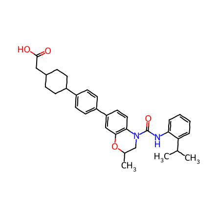 CC1CN(C(=O)Nc2ccccc2C(C)C)c2ccc(-c3ccc(C4CCC(CC(=O)O)CC4)cc3)cc2O1